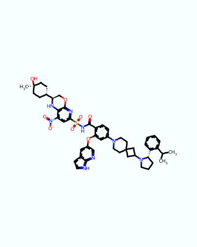 CC(C)c1ccccc1[C@@H]1CCCN1C1CC2(CCN(c3ccc(C(=O)NS(=O)(=O)c4cc([N+](=O)[O-])c5c(n4)OC[C@H]([C@H]4CC[C@](C)(O)CC4)N5)c(Oc4cnc5[nH]ccc5c4)c3)CC2)C1